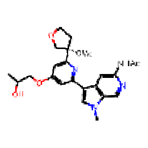 CO[C@@]1(c2cc(OCC(C)O)cc(-c3cn(C)c4cnc(NC(C)=O)cc34)n2)CCOC1